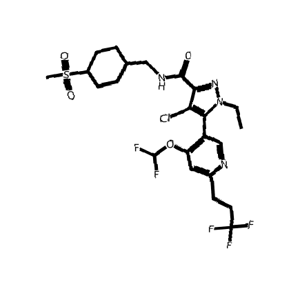 CCn1nc(C(=O)NCC2CCC(S(C)(=O)=O)CC2)c(Cl)c1-c1cnc(CCC(F)(F)F)cc1OC(F)F